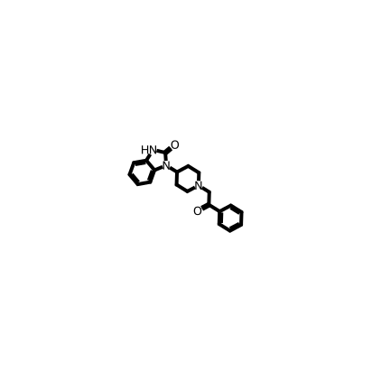 O=C(CN1CCC(n2c(=O)[nH]c3ccccc32)CC1)c1ccccc1